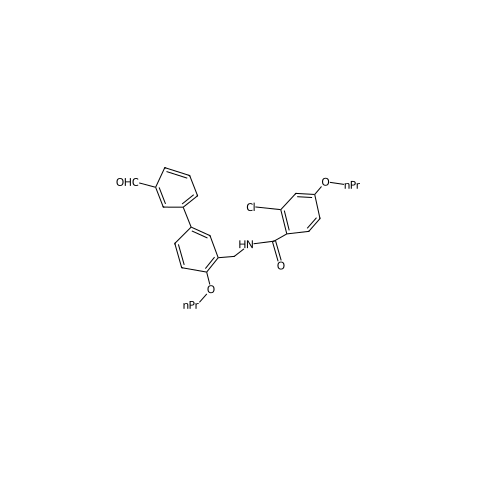 CCCOc1ccc(C(=O)NCc2cc(-c3cccc(C=O)c3)ccc2OCCC)c(Cl)c1